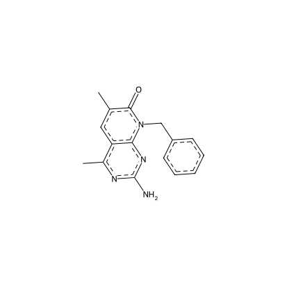 Cc1cc2c(C)nc(N)nc2n(Cc2ccccc2)c1=O